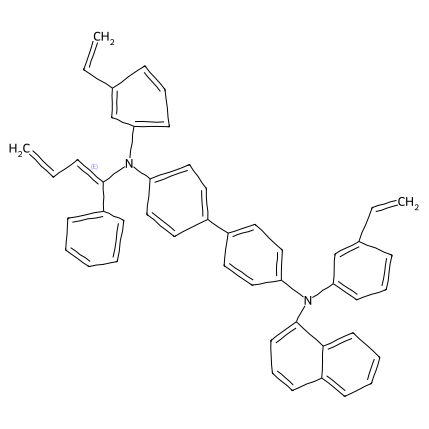 C=C/C=C(\c1ccccc1)N(c1ccc(-c2ccc(N(c3cccc(C=C)c3)c3cccc4ccccc34)cc2)cc1)c1cccc(C=C)c1